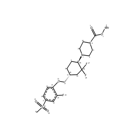 CC(C)(C)OC(=O)N1CCN([C@@H]2CC[C@@H](COc3ccc(S(C)(=O)=O)cc3F)CC2(F)F)CC1